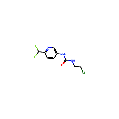 O=C(NCCCl)Nc1ccc(C(F)F)nc1